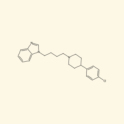 Clc1ccc(C2CCN(CCCCn3cnc4ccccc43)CC2)cc1